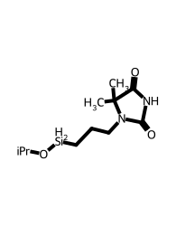 CC(C)O[SiH2]CCCN1C(=O)NC(=O)C1(C)C